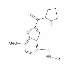 CCNCc1ccc(OC)c2oc(C(=O)C3CCCN3)cc12